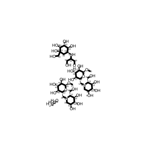 CO[C@H]1O[C@H](CN2C[C@H](O)[C@@H](O)[C@H](O)[C@H]2CO)[C@@H](O)[C@H](O)[C@H]1O.CO[C@H]1O[C@H](CN2C[C@H](O)[C@@H](O)[C@H](O)[C@H]2CO)[C@@H](O)[C@H](O)[C@H]1O.O.O.O.OCC(CO)N[C@H]1C[C@](O)(CO)[C@@H](O)[C@H](O)[C@H]1O